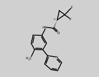 Cc1ccc(NC(=O)[C@@H]2CC2(F)F)cc1-c1ccccn1